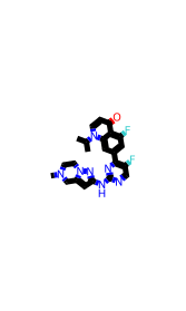 CC(C)n1ccc(=O)c2c(F)cc(-c3nc(Nc4cc5n(n4)CCN(C)C5)ncc3F)cc21